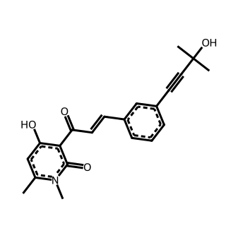 Cc1cc(O)c(C(=O)C=Cc2cccc(C#CC(C)(C)O)c2)c(=O)n1C